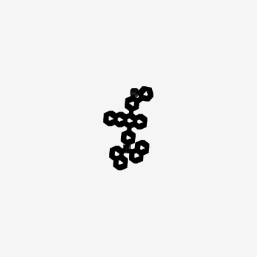 c1ccc2cc3c(-c4ccc5oc6ccccc6c5c4)c4ccccc4c(-c4ccc(N(c5cccc6ccccc56)c5cccc6ccccc56)cc4)c3cc2c1